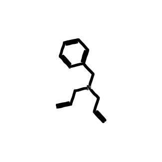 C=CCN(CC=C)Cc1[c]cccc1